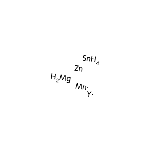 [MgH2].[Mn].[SnH4].[Y].[Zn]